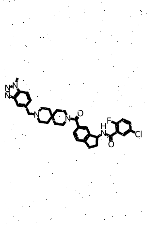 Cn1nnc2cc(CN3CCC4(CC3)CCN(C(=O)c3ccc5c(c3)C(NC(=O)c3cc(Cl)ccc3F)CC5)CC4)ccc21